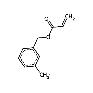 [CH2]c1cccc(COC(=O)C=C)c1